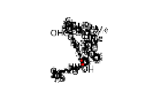 CC[C@H](C)[C@@H]([C@@H](CC(=O)N1CCC[C@H]1[C@H](OC)[C@@H](C)C(=O)N[C@@H](Cc1ccccc1)C(=O)Nc1ccc(CNC(=O)CCCCCN2C(=O)C=CC2=O)cc1)OC)N(C)C(=O)[C@@H](NC(=O)[C@@H]1[C@H]2CC[C@@H]([C@H]2C)N1C(C=O)COCCOCCOCCOCCO)C(C)C